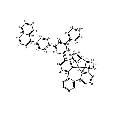 c1ccc2c(c1)-c1ccccc1C1(c3cc(-c4nc(-c5ccncc5)nc(-c5ccc(-c6cccc7ccccc67)cc5)n4)ccc3-2)c2ccccc2-c2ccccc21